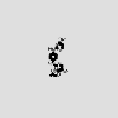 CC(O)[C@@H](C)Oc1nc(Nc2ccc(Nc3nccc(O)n3)cc2)ncc1Br